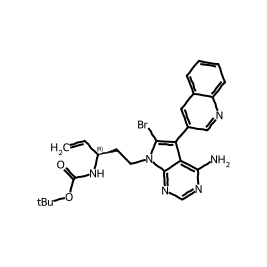 C=C[C@@H](CCn1c(Br)c(-c2cnc3ccccc3c2)c2c(N)ncnc21)NC(=O)OC(C)(C)C